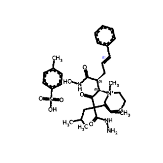 CCCC(CC(C)C)(C(=O)NN)C(=O)[C@@H]([C@H](C/C=C/c1ccccc1)C(=O)NO)[N+]1(C)CCOCC1.Cc1ccc(S(=O)(=O)O)cc1